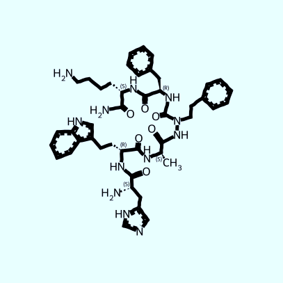 C[C@H](NC(=O)[C@@H](CCc1c[nH]c2ccccc12)NC(=O)[C@@H](N)Cc1cnc[nH]1)C(=O)NN(CCc1ccccc1)C(=O)N[C@H](Cc1ccccc1)C(=O)N[C@@H](CCCCN)C(N)=O